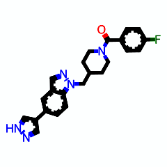 O=C(c1ccc(F)cc1)N1CCC(Cn2ncc3cc(-c4cn[nH]c4)ccc32)CC1